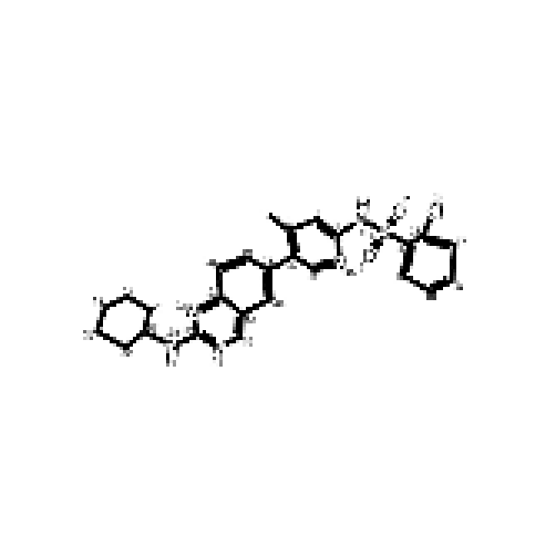 Cc1cc(NS(=O)(=O)c2ccccc2Cl)ncc1-c1ccc2nc(NC3CCCCC3)ncc2c1